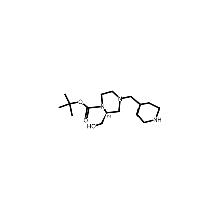 CC(C)(C)OC(=O)N1CCN(CC2CCNCC2)C[C@H]1CO